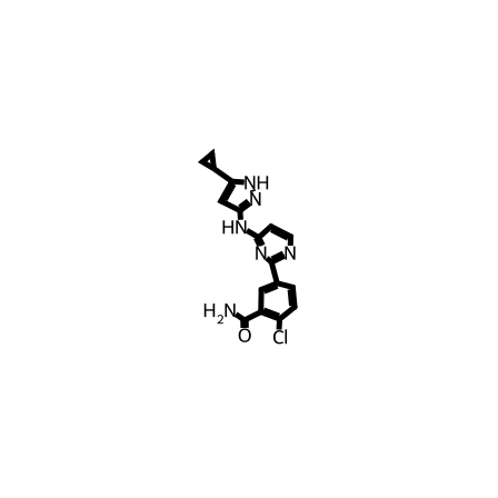 NC(=O)c1cc(-c2nccc(Nc3cc(C4CC4)[nH]n3)n2)ccc1Cl